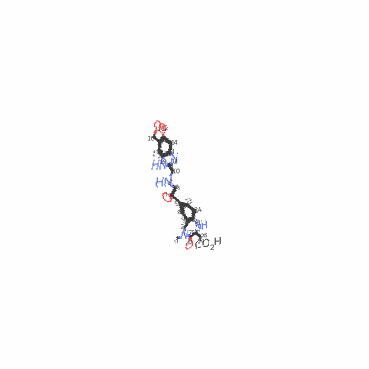 CN1Cc2cc(C(=O)CNCc3nc4cc5c(cc4[nH]3)COO5)ccc2NC(CC(=O)O)C1=O